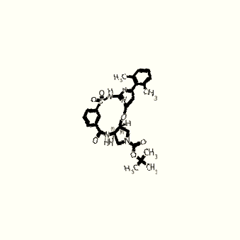 Cc1cccc(C)c1-c1cc2nc(n1)NS(=O)(=O)c1cccc(c1)C(=O)N[C@@H]1CN(C(=O)OC(C)(C)C)C[C@H]1O2